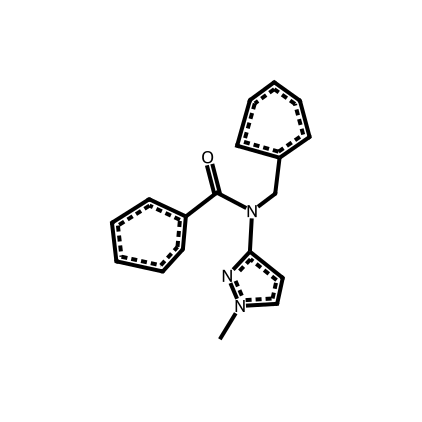 Cn1ccc(N(Cc2ccccc2)C(=O)c2ccccc2)n1